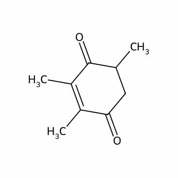 CC1=C(C)C(=O)C(C)CC1=O